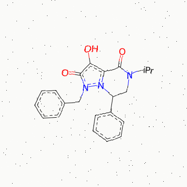 CC(C)N1CC(c2ccccc2)n2c(c(O)c(=O)n2Cc2ccccc2)C1=O